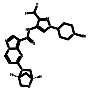 CCC(C)N1CCC(n2cc(NC(=O)c3cnn4ccc(N5C[C@@H]6C[C@H]5CO6)nc34)c(C(F)F)n2)CC1